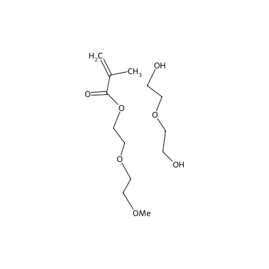 C=C(C)C(=O)OCCOCCOC.OCCOCCO